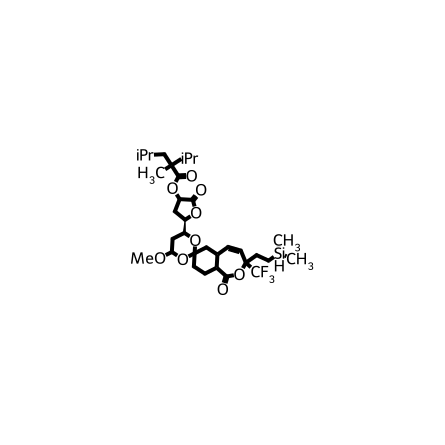 COC1CC([C@H]2CC(OC(=O)C(C)(CC(C)C)C(C)C)C(=O)O2)OC2(CCC3C(=O)OC(CC[SiH](C)C)(C(F)(F)F)C=CC3C2)O1